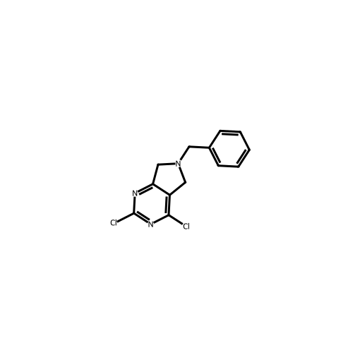 Clc1nc(Cl)c2c(n1)CN(Cc1ccccc1)C2